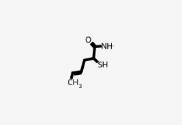 C/C=C/CC(S)C([NH])=O